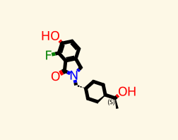 C[C@H](O)[C@H]1CC[C@H](CN2Cc3ccc(O)c(F)c3C2=O)CC1